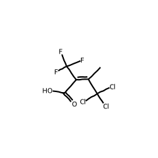 CC(=C(C(=O)O)C(F)(F)F)C(Cl)(Cl)Cl